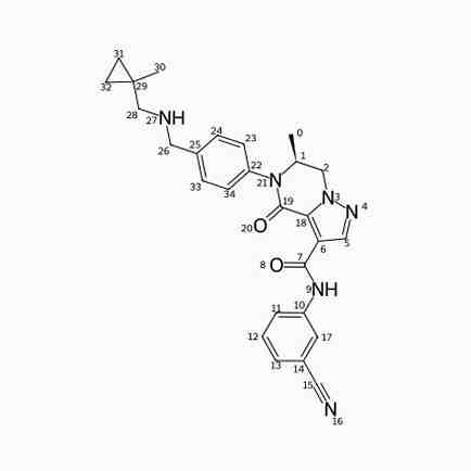 C[C@H]1Cn2ncc(C(=O)Nc3cccc(C#N)c3)c2C(=O)N1c1ccc(CNCC2(C)CC2)cc1